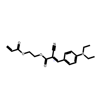 C=CC(=O)OCCOC(=O)/C(C#N)=C/c1ccc(N(CC)CC)cc1